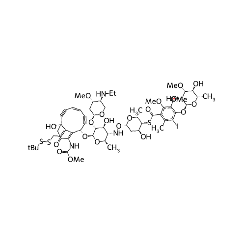 CCN[C@H]1CO[C@@H](O[C@H]2[C@H](O[C@H]3C#CC=CC#C[C@]4(O)CC(=O)C(NC(=O)OC)=C3C4=CCSSC(C)(C)C)O[C@H](C)[C@@H](NO[C@H]3C[C@H](O)[C@H](SC(=O)c4c(C)c(I)c(O[C@@H]5O[C@@H](C)[C@H](O)[C@@H](OC)[C@H]5O)c(OC)c4OC)[C@@H](C)O3)[C@@H]2O)C[C@@H]1OC